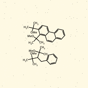 COC(C)(C)C(Cc1ccccc1)C(C)(C)OC.COC(C)(C)c1ccc2c(ccc3ccccc32)c1C(C)(C)OC